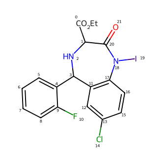 CCOC(=O)C1NC(c2ccccc2F)c2cc(Cl)ccc2N(I)C1=O